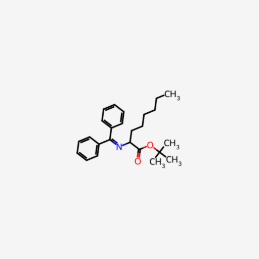 CCCCCCC(N=C(c1ccccc1)c1ccccc1)C(=O)OC(C)(C)C